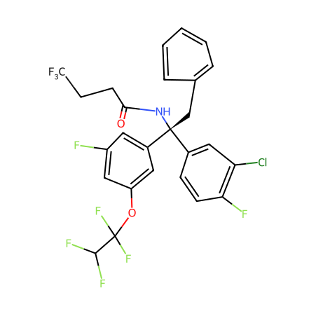 O=C(CCC(F)(F)F)N[C@@](Cc1ccccc1)(c1cc(F)cc(OC(F)(F)C(F)F)c1)c1ccc(F)c(Cl)c1